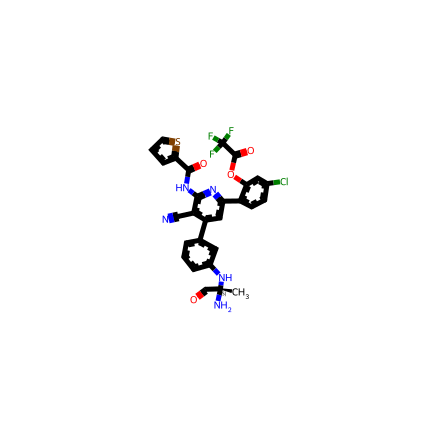 C[C@@](N)(C=O)Nc1cccc(-c2cc(-c3ccc(Cl)cc3OC(=O)C(F)(F)F)nc(NC(=O)c3cccs3)c2C#N)c1